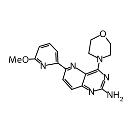 COc1cccc(-c2ccc3nc(N)nc(N4CCOCC4)c3n2)n1